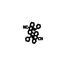 N#Cc1cccc2c(-c3c(P(Oc4ccccc4)c4ccccc4)ccc4c(C#N)cccc34)c(P(Oc3ccccc3)c3ccccc3)ccc12